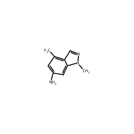 Cn1ncc2c(C(F)(F)F)cc(N)cc21